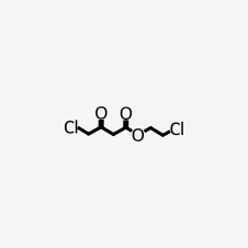 O=C(CCl)CC(=O)OCCCl